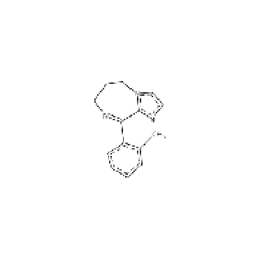 Cc1ccccc1C1=NCCCn2ccnc21